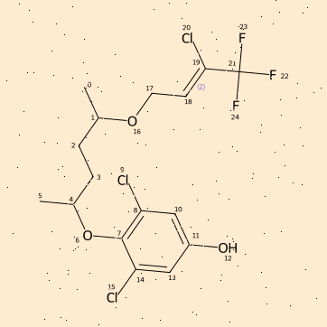 CC(CCC(C)Oc1c(Cl)cc(O)cc1Cl)OC/C=C(\Cl)C(F)(F)F